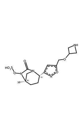 O=C1N2C[C@@H](CC[C@H]2c2cc(COC3CNC3)on2)N1OS(=O)(=O)O